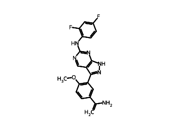 C=C(N)c1ccc(OC)c(-c2n[nH]c3nc(Nc4ccc(F)cc4F)ncc23)c1